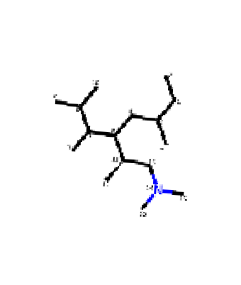 CCC(C)CC(C(C)C(C)C)[C@H](C)CN(C)C